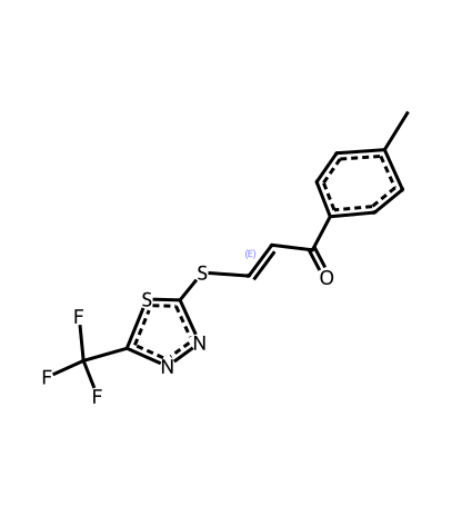 Cc1ccc(C(=O)/C=C/Sc2nnc(C(F)(F)F)s2)cc1